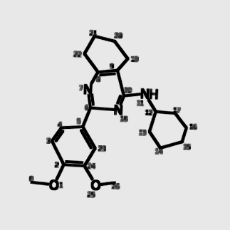 COc1ccc(-c2nc3c(c(NC4CCCCC4)n2)CCCC3)cc1OC